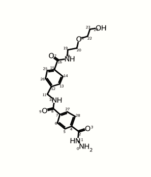 NNC(=O)c1ccc(C(=O)NCc2ccc(C(=O)NCCOCCO)cc2)cc1